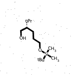 CCC[C@@H](CO)CCCO[Si](C)(C)C(C)(C)C